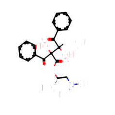 C[C@H](CN(C)C)OC(=O)C(O)(C(=O)c1ccccc1)C(O)(C(=O)O)C(=O)c1ccccc1